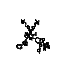 COCCOC1(C(=O)c2nnc[nH]2)CCC(c2nc3c(-c4cnn(-c5ccccc5)c4)cnn3c(N(COCC[Si](C)(C)C)COCC[Si](C)(C)C)c2I)CC1